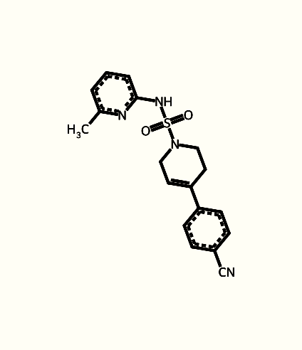 Cc1cccc(NS(=O)(=O)N2CC=C(c3ccc(C#N)cc3)CC2)n1